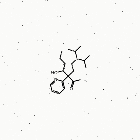 CCCC(O)C(CCN(C(C)C)C(C)C)(C(C)=O)c1ccccn1